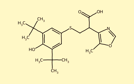 Cc1ocnc1C(CSc1cc(C(C)(C)C)c(O)c(C(C)(C)C)c1)C(=O)O